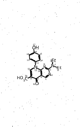 CCN(CC)c1ncc2c(=O)c(C(=O)O)cn(-c3ccc(O)cc3)c2n1